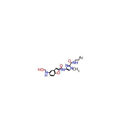 CC(=O)CCNC(=O)c1nc(NC(=O)c2cc3cc(NCO)ccc3o2)cn1C